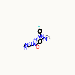 CCN(C)c1nc(-c2ccc(F)cc2)nc2cc(C(=O)NCCCc3ncc[nH]3)ccc12